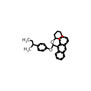 CCC(C)c1ccc(OC(OC2CCCCC2)c2c3ccccc3cc3ccccc23)cc1